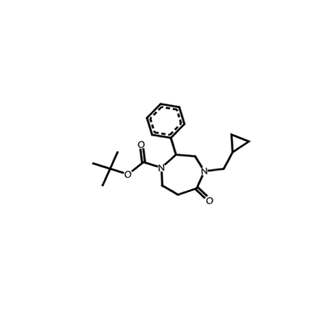 CC(C)(C)OC(=O)N1CCC(=O)N(CC2CC2)CC1c1ccccc1